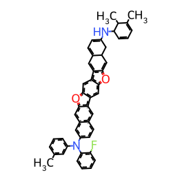 CC1=CC=CC(NC2=CC=C3C=c4c(oc5cc6c(cc45)oc4cc5cc(N(c7cccc(C)c7)c7ccccc7F)ccc5cc46)=CC3C2)C1C